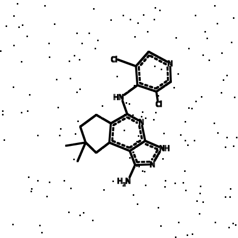 CC1(C)CCc2c(Nc3c(Cl)cncc3Cl)nc3[nH]nc(N)c3c2C1